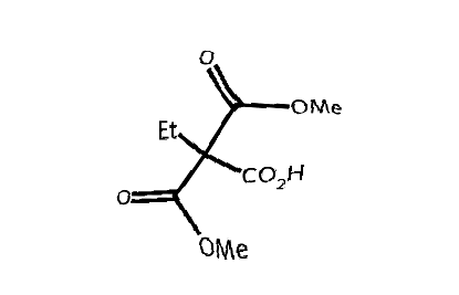 CCC(C(=O)O)(C(=O)OC)C(=O)OC